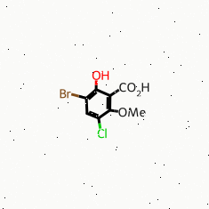 COc1c(Cl)cc(Br)c(O)c1C(=O)O